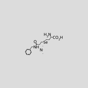 NC(CC[Se]CCC(=O)NCc1ccccc1)C(=O)O.[N]